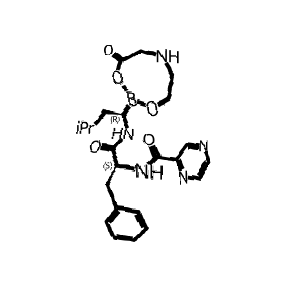 CC(C)C[C@H](NC(=O)[C@H](Cc1ccccc1)NC(=O)c1cnccn1)B1OCCNCC(=O)O1